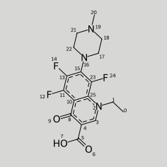 CCn1cc(C(=O)O)c(=O)c2c(F)c(F)c(N3CCN(C)CC3)c(F)c21